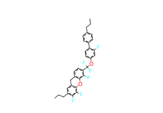 CCCc1ccc(-c2ccc(OC(F)(F)c3ccc4c(c3F)Oc3c(cc(CCC)c(F)c3F)C4)cc2F)cc1